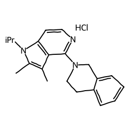 Cc1c(C)n(C(C)C)c2ccnc(N3CCc4ccccc4C3)c12.Cl